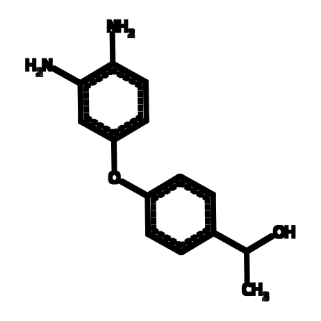 CC(O)c1ccc(Oc2ccc(N)c(N)c2)cc1